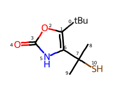 CC(C)(C)c1oc(=O)[nH]c1C(C)(C)S